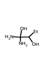 CCC(O)C(N)(N)O